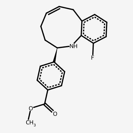 COC(=O)c1ccc([C@H]2CCC=CCc3cccc(F)c3N2)cc1